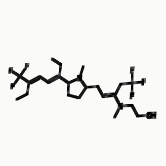 CC/C(=C\C=C(/CC)C(F)(F)F)C1CCC(C/C=C(\CC(F)(F)F)N(C)CCO)N1C